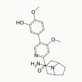 COc1ccc(-c2cnc(C(=O)N3C4CCC3CC(N)C4)cc2OC)cc1O